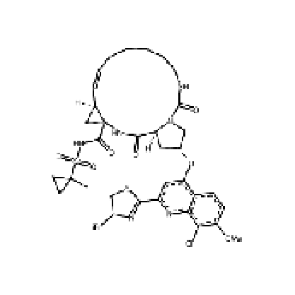 COc1ccc2c(O[C@@H]3C[C@H]4C(=O)N[C@]5(C(=O)NS(=O)(=O)C6(C)CC6)C[C@H]5/C=C\CCCCCNC(=O)N4C3)cc(C3=NC(C(C)C)CS3)nc2c1Cl